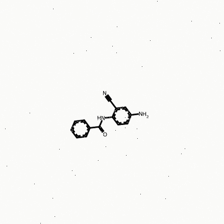 N#Cc1cc(N)ccc1NC(=O)c1ccccc1